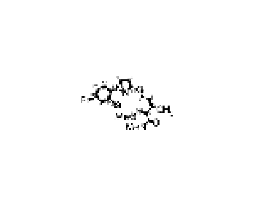 CNC(=O)C(=NOC)C(C)=CCOc1ccn(-c2ccc(Br)cc2Br)n1